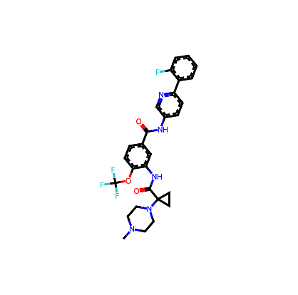 CN1CCN(C2(C(=O)Nc3cc(C(=O)Nc4ccc(-c5ccccc5F)nc4)ccc3OC(F)(F)F)CC2)CC1